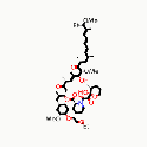 CCOCCO[C@@H]1CC[C@@H](C[C@@H](C)[C@H](CC(=O)[C@H](C)/C=C(\C)[C@@H](O)[C@@H](OC)C(=O)[C@H](C)C[C@H](C)/C=C/C=C/C=C(\C)[C@H](CC)OC)OC(=O)[C@@H]2CCCCN2C(=O)C(=O)[C@]2(O)OCCC[C@H]2C)C[C@H]1OC